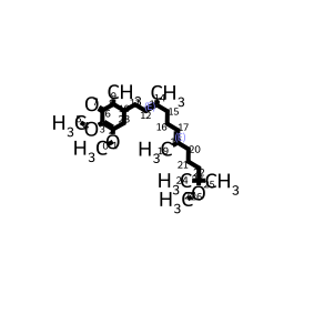 COC1=C(OC)C(=O)C(C)C(C/C=C(\C)CC/C=C(\C)CCCC(C)(C)OC)C1